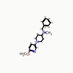 COc1ccc(N2CCC(N(C)Cc3ccccc3)CC2)cn1